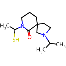 CC(C)N1CCC2(CCCN(C(C)S)C2=O)C1